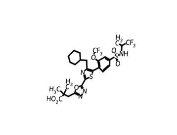 CC(NS(=O)(=O)c1ccc(-c2sc(-c3nnc(CC(C)(C)C(=O)O)o3)nc2CC2CCCCC2)c(OC(F)(F)F)c1)C(F)(F)F